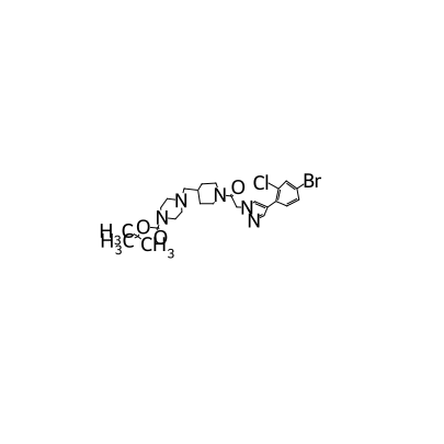 CC(C)(C)OC(=O)N1CCN(CC2CCN(C(=O)Cn3cc(-c4ccc(Br)cc4Cl)cn3)CC2)CC1